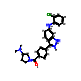 CN(C)C1CCN(C(=O)c2ccc(-c3n[nH]c4cc(Nc5ccccc5Cl)ccc34)cc2)C1